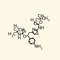 CC(C)(C)NC(=O)OC(Cc1csc(NC(=O)OC(C)(C)C)n1)c1ccc(N)cc1